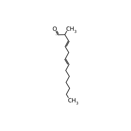 CCCCCCC=CCC=CC(C)[C]=O